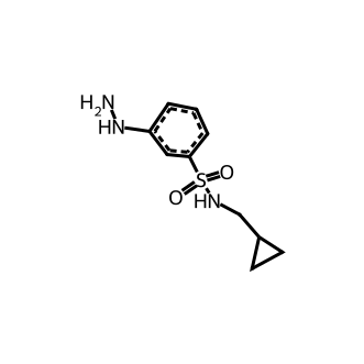 NNc1cccc(S(=O)(=O)NCC2CC2)c1